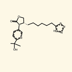 CC(C)(O)c1ccc(N2C(=O)OC[C@@H]2CCCCCCc2nnn[nH]2)cn1